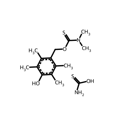 Cc1c(C)c(COC(=S)N(C)C)c(C)c(C)c1O.NC(O)=S